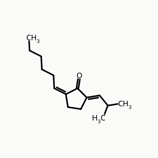 CCCCCC=C1CCC(=CC(C)C)C1=O